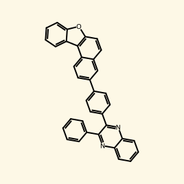 c1ccc(-c2nc3ccccc3nc2-c2ccc(-c3ccc4c(ccc5oc6ccccc6c54)c3)cc2)cc1